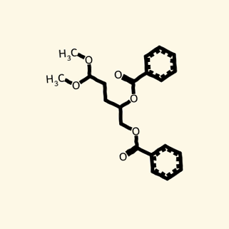 COC(CCC(COC(=O)c1ccccc1)OC(=O)c1ccccc1)OC